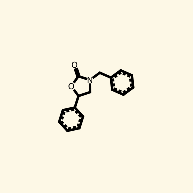 O=C1OC(c2ccccc2)CN1Cc1ccccc1